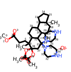 COC(=O)CCC1(C)C2CCC3C4CCC[C@@]4(C)CCC3[C@@]2(C)C(N2CCNCC2)(N2CCN[C@@H](O)C2)CC1(OC(C)=O)OC(C)=O